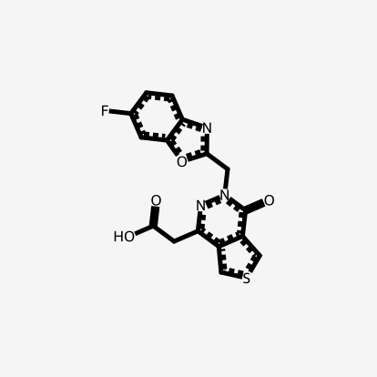 O=C(O)Cc1nn(Cc2nc3ccc(F)cc3o2)c(=O)c2cscc12